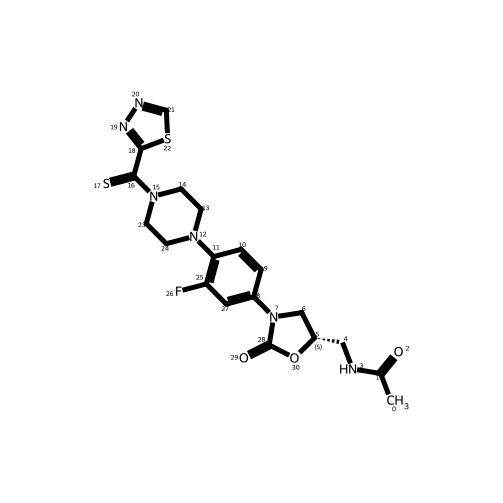 CC(=O)NC[C@H]1CN(c2ccc(N3CCN(C(=S)c4nncs4)CC3)c(F)c2)C(=O)O1